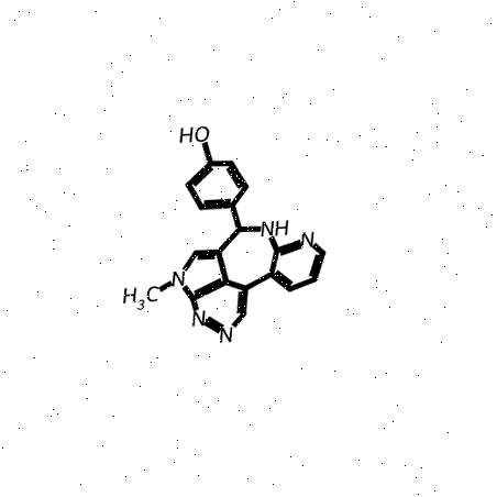 Cn1cc2c3c(cnnc31)-c1cccnc1NC2c1ccc(O)cc1